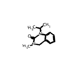 CC(C)N1C(=O)N(C)Cc2ccccc21